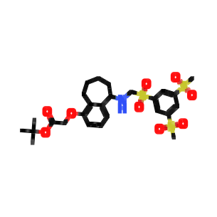 CC(C)(C)OC(=O)COc1cccc2c1CCCCC2NCS(=O)(=O)c1cc(S(C)(=O)=O)cc(S(C)(=O)=O)c1